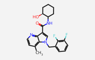 Cc1ccnc2c(C(=O)NC3CCCC[C@@H]3O)cn(Cc3cccc(F)c3F)c12